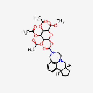 COC(=O)C1OC(OC(=O)N2CCN3C[C@@H]4CCC[C@@H]4c4cccc(c43)C2)C(OC(C)=O)C(OC(C)=O)C1OC(C)=O